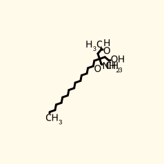 CCCCCCCCCCCCCCCCC(CC(C)O)(CC(C)O)C(N)=O